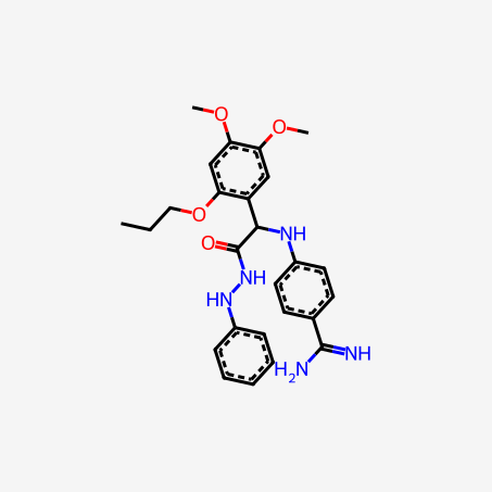 CCCOc1cc(OC)c(OC)cc1C(Nc1ccc(C(=N)N)cc1)C(=O)NNc1ccccc1